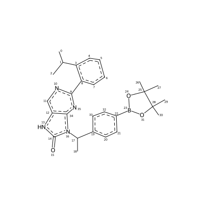 CC(C)c1ccccc1-c1ncc2[nH]c(=O)n(C(C)c3ccc(B4OC(C)(C)C(C)(C)O4)cc3)c2n1